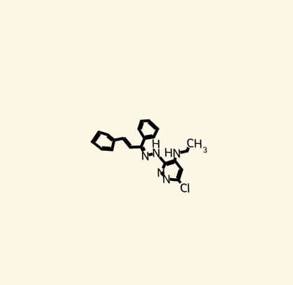 CCNc1cc(Cl)nnc1NN=C(C=Cc1ccccc1)c1ccccc1